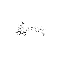 CNc1ncc(-c2cccc(-c3cnn(C4CN(Cc5cccc(C(=O)N(C)CC6CC6)n5)C4)c3)c2OC)c2cc(NC(=O)C3CC3)nnc12